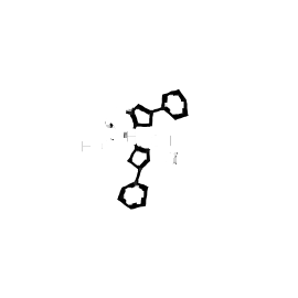 CC1=[C]([Hf+2]([C]2=C(C)C=C(c3ccccc3)C2)=[Si](C)C)CC(c2ccccc2)=C1.[Cl-].[Cl-]